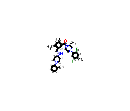 Cc1cc(C)c(C(=O)N2CCN(c3cc(F)c(C#N)cc3F)C[C@@H]2C)cc1CNC1CCN(c2ccccc2C#N)CC1